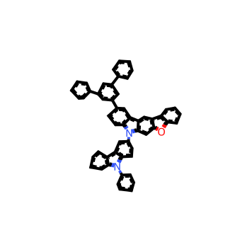 c1ccc(-c2cc(-c3ccccc3)cc(-c3ccc4c(c3)c3cc5c(cc3n4-c3ccc4c(c3)c3ccccc3n4-c3ccccc3)oc3ccccc35)c2)cc1